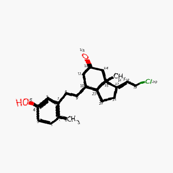 Cc1ccc(O)cc1CCC1CC(=O)CC2(C)C(=CCCl)CCC12